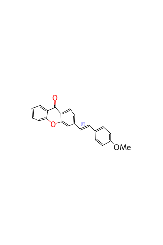 COc1ccc(/C=C/c2ccc3c(=O)c4ccccc4oc3c2)cc1